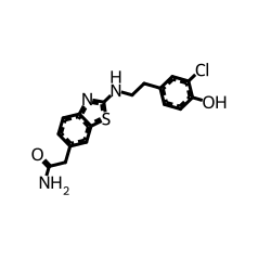 NC(=O)Cc1ccc2nc(NCCc3ccc(O)c(Cl)c3)sc2c1